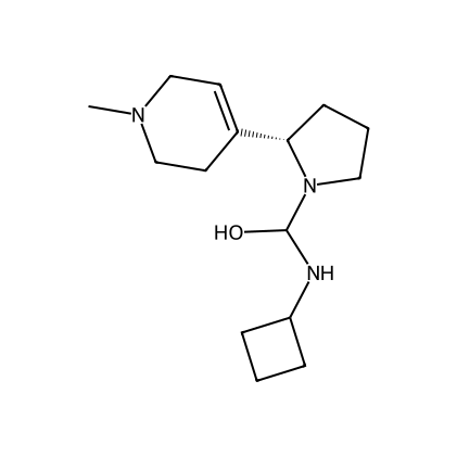 CN1CC=C([C@@H]2CCCN2C(O)NC2CCC2)CC1